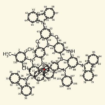 Cc1cc(C)c(N2c3cc4c(cc3B3c5sc6ccccc6c5Oc5cc(-n6c7ccccc7c7ccccc76)cc2c53)B2c3cc5c(cc3Oc3cc(-n6c7ccccc7c7ccccc76)cc(c32)O4)Nc2cc(-n3c4ccccc4c4ccccc43)cc3c2B5c2sc4ccccc4c2N3c2ccccc2)c(C)c1